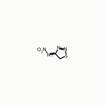 O=[N+]([O-])/N=C1/CSN=N1